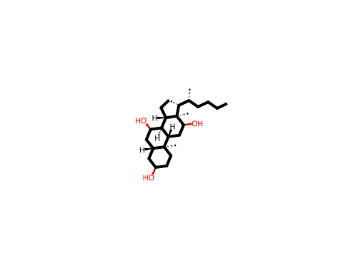 CCCC[C@@H](C)[C@H]1CC[C@H]2[C@@H]3[C@H](O)C[C@H]4C[C@H](O)CC[C@]4(C)[C@H]3C[C@H](O)[C@]12C